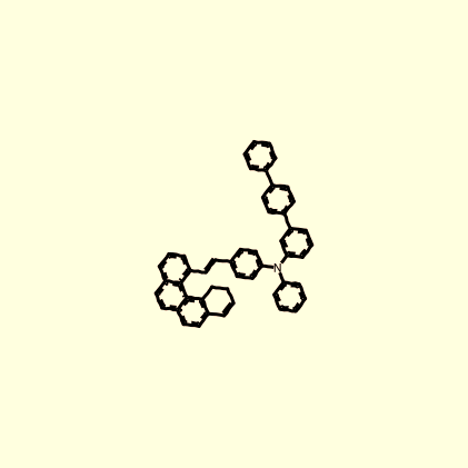 C1=Cc2ccc3ccc4cccc(C=Cc5ccc(N(c6ccccc6)c6cccc(-c7ccc(-c8ccccc8)cc7)c6)cc5)c4c3c2CC1